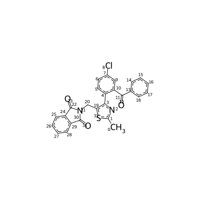 Cc1nc(-c2ccc(Cl)cc2C(=O)c2ccccc2)c(CN2C(=O)c3ccccc3C2=O)s1